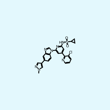 Cn1cc(-c2ccc3c(c2)ncn3-c2cc(-c3ncccc3Cl)cc(NS(=O)(=O)C3CC3)n2)cn1